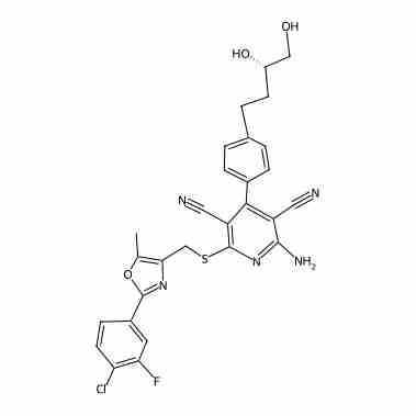 Cc1oc(-c2ccc(Cl)c(F)c2)nc1CSc1nc(N)c(C#N)c(-c2ccc(CC[C@H](O)CO)cc2)c1C#N